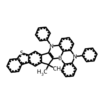 CC1(C)C2=C(c3cc4sc5ccccc5c4cc31)N(c1ccccc1)c1cccc3c1B2c1ccccc1N3c1ccccc1